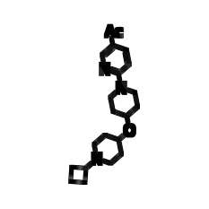 CC(=O)c1ccc(N2CCC(OC3CCN(C4CCC4)CC3)CC2)nc1